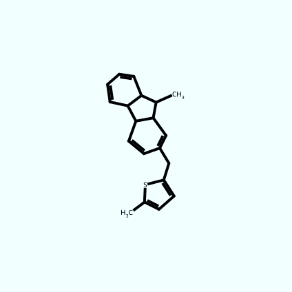 Cc1ccc(CC2=CC3C(C)C4C=CC=CC4C3C=C2)s1